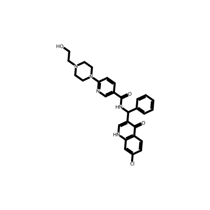 O=C(NC(c1ccccc1)c1c[nH]c2cc(Cl)ccc2c1=O)c1ccc(N2CCN(CCO)CC2)nc1